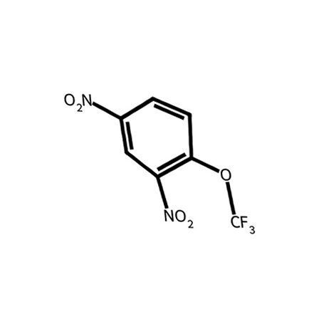 O=[N+]([O-])c1ccc(OC(F)(F)F)c([N+](=O)[O-])c1